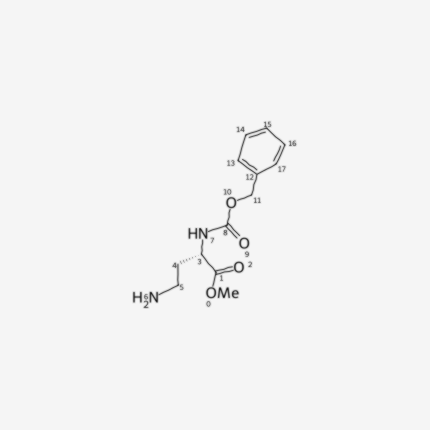 COC(=O)[C@H](CCN)NC(=O)OCc1ccccc1